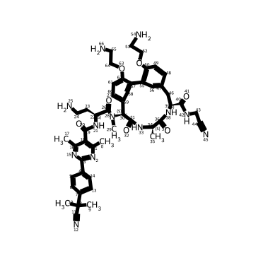 Cc1nc(-c2ccc(C(C)(C)C#N)cc2)nc(C)c1C(=O)N[C@@H](CCN)C(=O)N(C)[C@@H]1C(=O)N[C@@H](C)C(=O)N[C@H](C(=O)NCC#N)Cc2ccc(OCCN)c(c2)-c2cc1ccc2OCCN